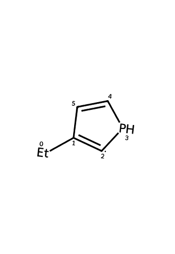 CCc1[c][pH]cc1